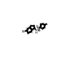 Cc1ccc(S(=O)(=O)NC2CCc3cc(Br)ccc32)cc1